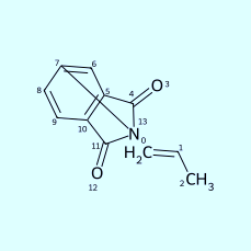 C=CC.O=C1c2cc3ccc2c(=O)n31